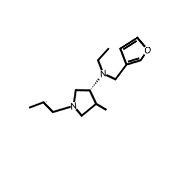 C[CH]CN1CC(C)[C@@H](N(CC)Cc2ccoc2)C1